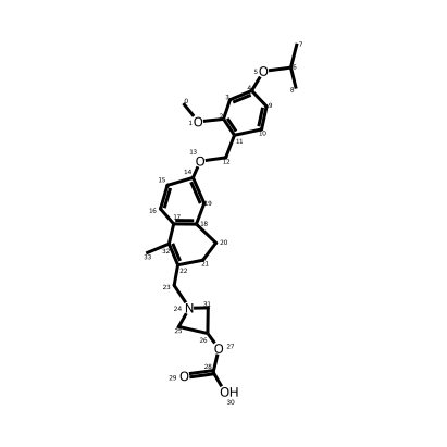 COc1cc(OC(C)C)ccc1COc1ccc2c(c1)CCC(CN1CC(OC(=O)O)C1)=C2C